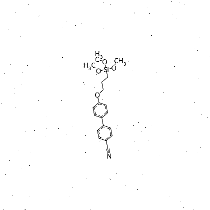 CO[Si](CCCOc1ccc(-c2ccc(C#N)cc2)cc1)(OC)OC